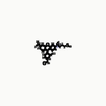 CSCCC/[N+](C)=c1\ccc2c(-c3ccc(C=O)cc3C)c3ccc(N(C)C)cc3oc-2c1